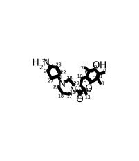 Cc1c(C)c2c(c(C)c1O)CCC(C)(C(=O)N1CCCN(c3ccc(N)cc3)CC1)O2